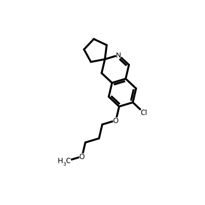 COCCCOc1cc2c(cc1Cl)C=NC1(CCCC1)C2